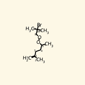 C=C(C)CCC(C)OOCC(C)(C)Br